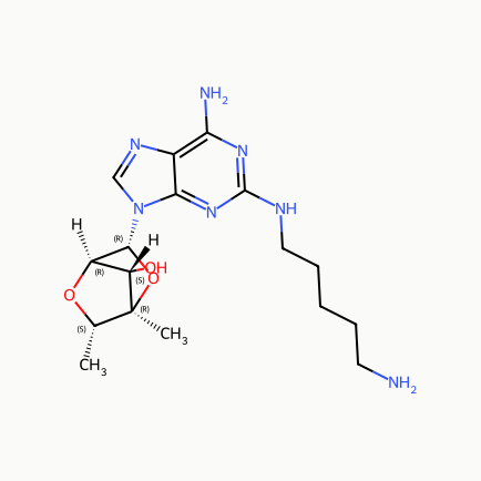 C[C@@H]1O[C@H]2[C@H](n3cnc4c(N)nc(NCCCCCN)nc43)O[C@]1(C)[C@H]2O